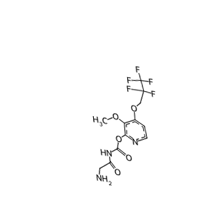 COc1c(OCC(F)(F)C(F)(F)F)ccnc1OC(=O)NC(=O)CN